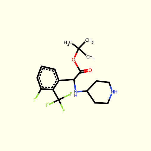 CC(C)(C)OC(=O)C(NC1CCNCC1)c1cccc(F)c1C(F)(F)F